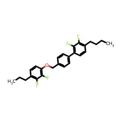 CCCCc1ccc(-c2ccc(COc3ccc(CCC)c(F)c3F)cc2)c(F)c1F